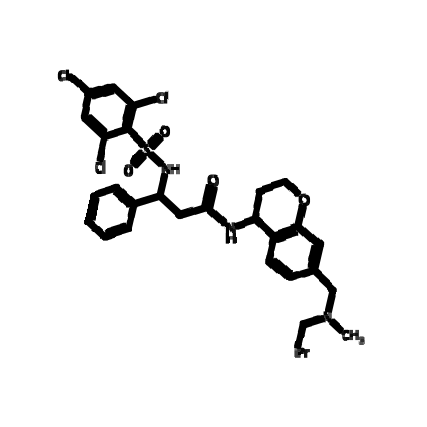 CC(C)CN(C)Cc1ccc2c(c1)OCCC2NC(=O)CC(NS(=O)(=O)c1c(Cl)cc(Cl)cc1Cl)c1ccccc1